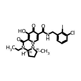 CCN1C(=O)c2c(O)c(=O)c(C(=O)NCc3cccc(Cl)c3I)cn2N2[C@H](C)CC[C@@H]12